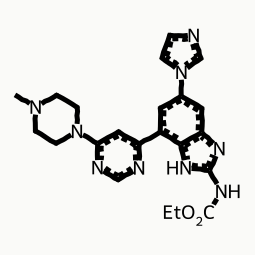 CCOC(=O)Nc1nc2cc(-n3ccnc3)cc(-c3cc(N4CCN(C)CC4)ncn3)c2[nH]1